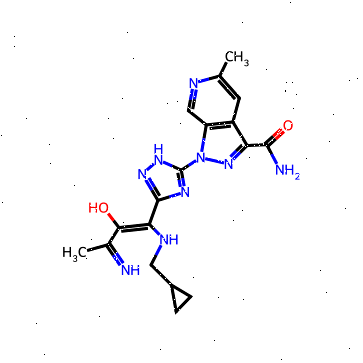 CC(=N)/C(O)=C(\NCC1CC1)c1n[nH]c(-n2nc(C(N)=O)c3cc(C)ncc32)n1